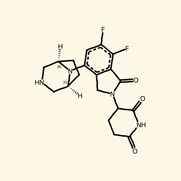 O=C1CCC(N2Cc3c(N4[C@@H]5CC[C@H]4CNC5)cc(F)c(F)c3C2=O)C(=O)N1